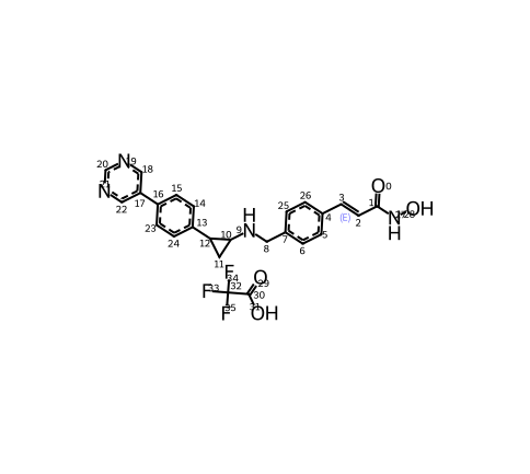 O=C(/C=C/c1ccc(CNC2CC2c2ccc(-c3cncnc3)cc2)cc1)NO.O=C(O)C(F)(F)F